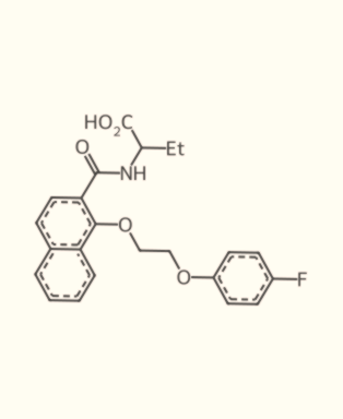 CCC(NC(=O)c1ccc2ccccc2c1OCCOc1ccc(F)cc1)C(=O)O